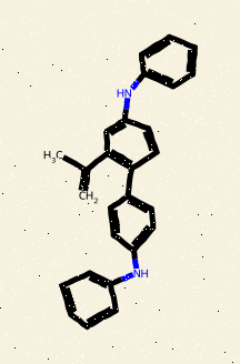 C=C(C)c1cc(Nc2ccccc2)ccc1-c1ccc(Nc2ccccc2)cc1